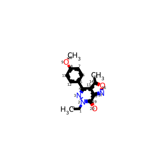 CCn1nc(-c2ccc(OC)cc2)c2c(C)onc2c1=O